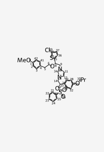 COc1ccc(CCOC(CN2C=CN(CC(OS(=O)(=O)c3ccccc3)c3ccc(OC(C)C)cc3)C2)c2ccc(Cl)s2)cc1